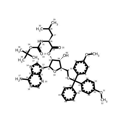 COc1ccc(C(OC[C@H]2O[C@@H](n3cnc4c(N)ncnc43)[C@H](OC(=O)[C@H](CC(C)C)NC(=O)OC(C)(C)C)[C@@H]2O)(c2ccccc2)c2ccc(OC)cc2)cc1